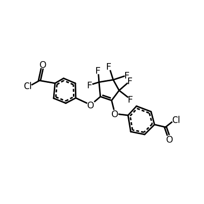 O=C(Cl)c1ccc(OC2=C(Oc3ccc(C(=O)Cl)cc3)C(F)(F)C(F)(F)C2(F)F)cc1